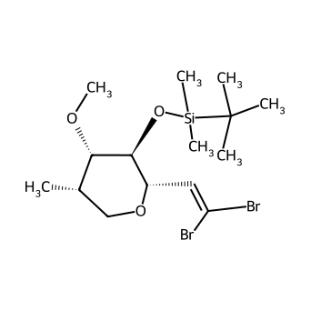 CO[C@@H]1[C@@H](O[Si](C)(C)C(C)(C)C)[C@H](C=C(Br)Br)OC[C@@H]1C